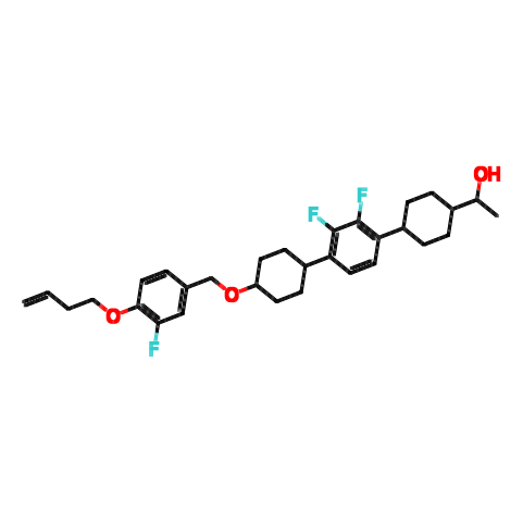 C=CCCOc1ccc(COC2CCC(c3ccc(C4CCC(C(C)O)CC4)c(F)c3F)CC2)cc1F